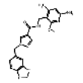 Cc1cc(N)nc(C)c1CNC(=O)c1cnn(Cc2ccc3c(c2)OCO3)c1